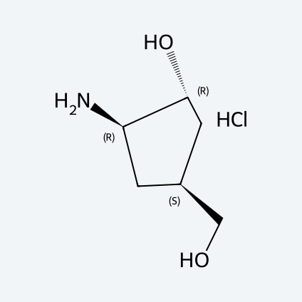 Cl.N[C@@H]1C[C@H](CO)C[C@H]1O